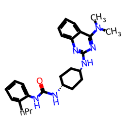 CCCc1ccccc1NC(=O)N[C@H]1CC[C@@H](Nc2nc(N(C)C)c3ccccc3n2)CC1